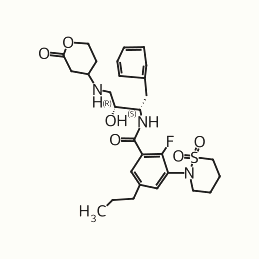 CCCc1cc(C(=O)N[C@@H](Cc2ccccc2)[C@H](O)CNC2CCOC(=O)C2)c(F)c(N2CCCCS2(=O)=O)c1